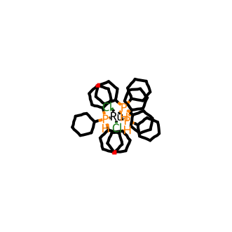 [Cl][Ru]([Cl])([PH](C1CCCCC1)(C1CCCCC1)C1CCCCC1)([PH](C1CCCCC1)(C1CCCCC1)C1CCCCC1)[PH](C1CCCCC1)(C1CCCCC1)C1CCCCC1